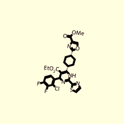 CCOC(=O)C1=C([C@H]2CC[C@@H](c3nc(C(=O)OC)co3)CC2)NC(c2nccs2)=NC1c1ccc(F)c(F)c1Cl